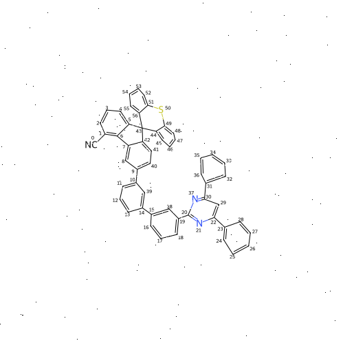 N#Cc1cccc2c1-c1cc(-c3cccc(-c4cccc(-c5nc(-c6ccccc6)cc(-c6ccccc6)n5)c4)c3)ccc1C21c2ccccc2Sc2ccccc21